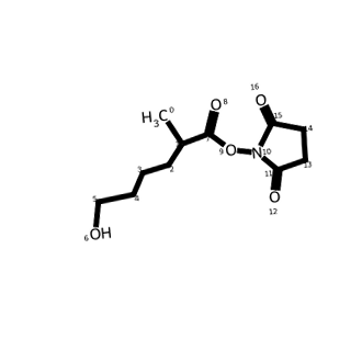 CC(CCCCO)C(=O)ON1C(=O)CCC1=O